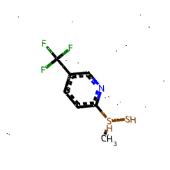 C[SH](S)c1ccc(C(F)(F)F)cn1